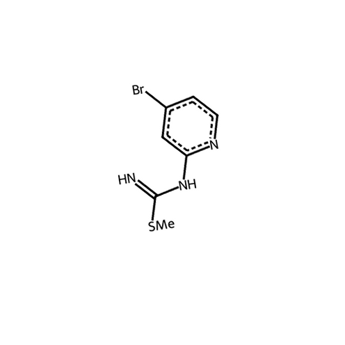 CSC(=N)Nc1cc(Br)ccn1